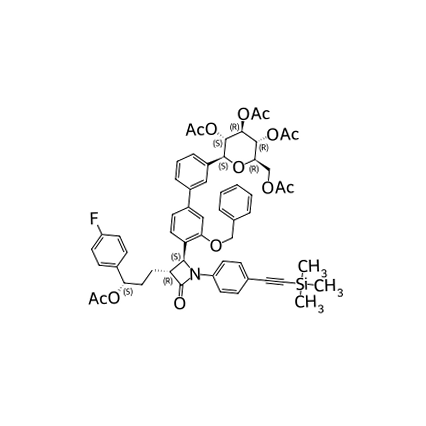 CC(=O)OC[C@H]1O[C@@H](c2cccc(-c3ccc([C@@H]4[C@@H](CC[C@H](OC(C)=O)c5ccc(F)cc5)C(=O)N4c4ccc(C#C[Si](C)(C)C)cc4)c(OCc4ccccc4)c3)c2)[C@H](OC(C)=O)[C@@H](OC(C)=O)[C@@H]1OC(C)=O